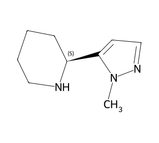 Cn1nccc1[C@@H]1CCCCN1